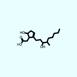 CCCCCC(C)C(O)CCC1=CCC(O)C1CC(=O)O